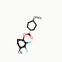 CCCCCC[C@H]1CC[C@H](C(=O)Oc2ccc(C#N)c(F)c2F)CC1